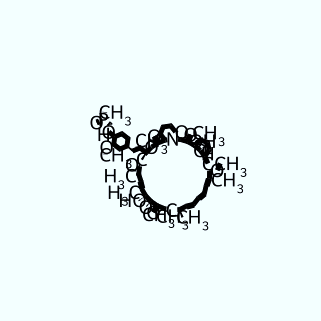 CO[C@H]1C[C@@H]2CC[C@@H](C)[C@@](O)(O2)C(=O)C(=O)N2CCCCC2C(=O)O[C@H]([C@H](C)C[C@@H]2CCC(OC[PH](C)=O)[C@H](OC)C2)CC(=O)[C@H](C)/C=C(\C)[C@@H](O)[C@@H](OC)C(=O)[C@H](C)C[C@H](C)/C=C/C=C/C=C/1C